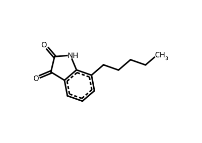 CCCCCc1cccc2c1NC(=O)C2=O